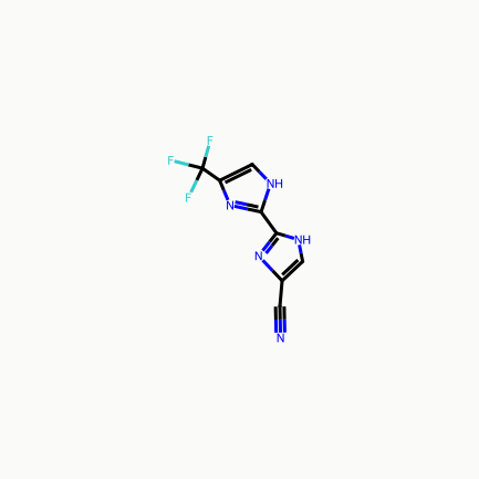 N#Cc1c[nH]c(-c2nc(C(F)(F)F)c[nH]2)n1